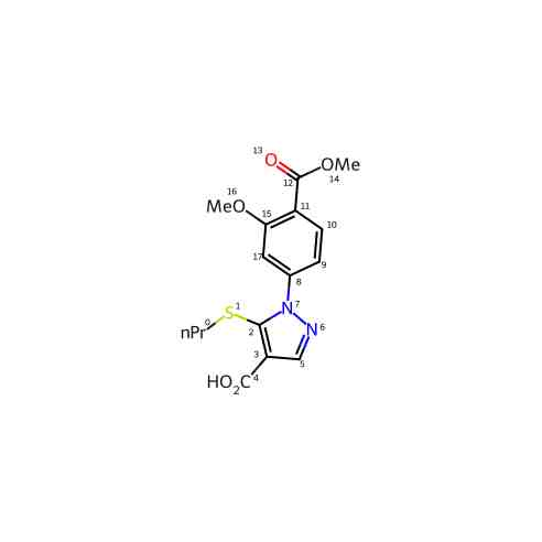 CCCSc1c(C(=O)O)cnn1-c1ccc(C(=O)OC)c(OC)c1